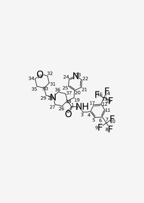 O=C(NCc1cc(C(F)(F)F)cc(C(F)(F)F)c1)C1(Cc2ccncc2)CCN(CC2CCOCC2)CC1